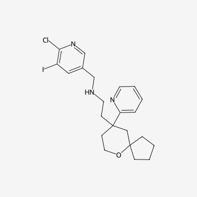 Clc1ncc(CNCCC2(c3ccccn3)CCOC3(CCCC3)C2)cc1I